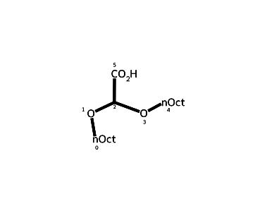 CCCCCCCCOC(OCCCCCCCC)C(=O)O